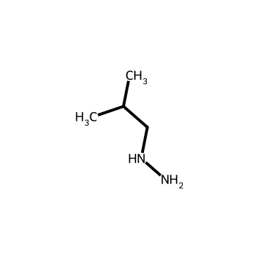 CC(C)CNN